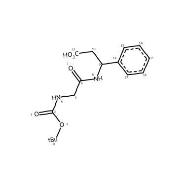 CC(C)(C)OC(=O)NCC(=O)NC(CC(=O)O)c1ccccc1